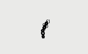 O=S(=O)(c1ccc(Cl)cc1)N1CCN(c2ccc3c(c2)CCN(C2CCCC2)CC3)CC1